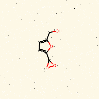 OCc1ccc(C2OO2)o1